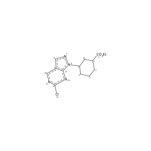 CCOC(=O)C1CCCC(n2ncc3cnc(Cl)nc32)C1